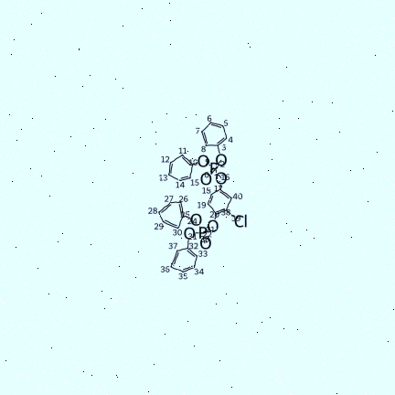 O=P(Oc1ccccc1)(Oc1ccccc1)Oc1ccc(OP(=O)(Oc2ccccc2)Oc2ccccc2)c(Cl)c1